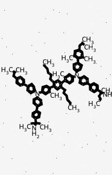 CCCCCCc1cc(-c2ccc(N(c3ccc(-c4ccc(C(C)(N)CCC)cc4)cc3)c3ccc(-c4c(C)cc(CC(C)C)cc4C)cc3)cc2C)c(CCCCCC)cc1-c1ccc(N(c2ccc(-c3ccc(CC(C)C)cc3)cc2)c2ccc(-c3ccc(C(N)(CC)CC)cc3)cc2)cc1C